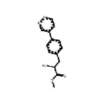 COC(=O)[C@@H](N)Cc1ccc(-c2ccnnc2)cc1